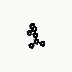 c1ccc(-c2nc(-c3ccccc3)nc(-c3ccc(-c4ccc5ccccc5c4-c4ncccn4)cc3)n2)cc1